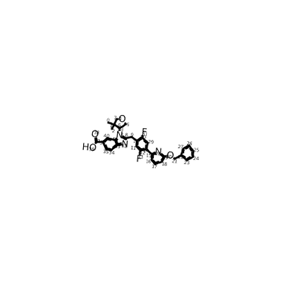 CC1(C)COC[C@H]1n1c(Cc2cc(F)c(-c3cccc(OCc4ccccc4)n3)cc2F)nc2ccc(C(=O)O)cc21